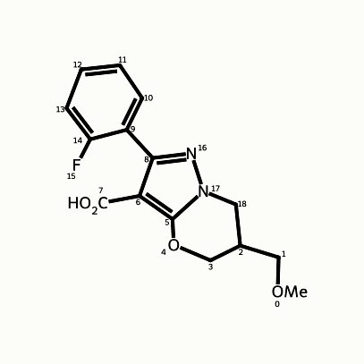 COCC1COc2c(C(=O)O)c(-c3ccccc3F)nn2C1